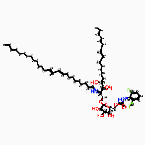 CCCCCCCCCCCCCCCCCCCCCCCCCCN[C@@H](CO[C@H]1O[C@H](COC(=O)Nc2c(F)cccc2F)[C@H](O)[C@H](O)[C@H]1O)[C@H](O)[C@H](O)CCCCCCCCCCCCCC